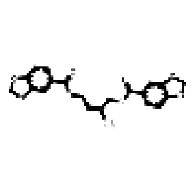 CC(=CCOC(=O)c1ccc2c(c1)OCO2)COC(=O)c1ccc2c(c1)OCO2